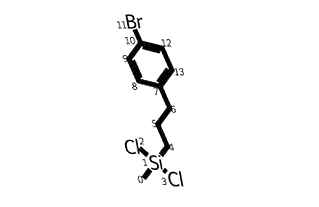 C[Si](Cl)(Cl)CCCc1ccc(Br)cc1